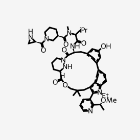 CCn1c(-c2cccnc2[C@H](C)OC)c2c3cc(ccc31)-c1cc(O)cc(c1)C[C@H](NC(=O)C(C(C)C)N(C)C(=O)[C@@H]1CCCN(C(=O)[C@H]3CN3)C1)C(=O)N1CCC[C@H](N1)C(=O)OCC(C)(C)C2